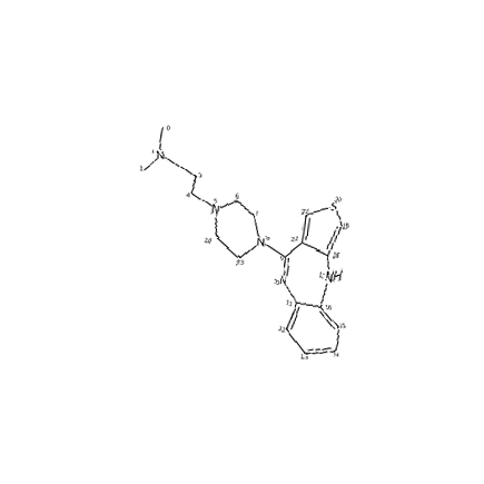 CN(C)CCN1CCN(C2=Nc3ccccc3Nc3cscc32)CC1